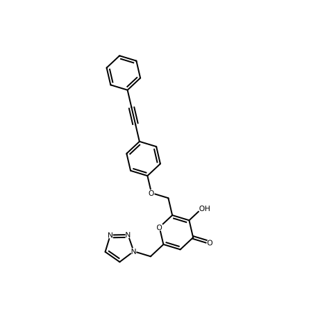 O=c1cc(Cn2ccnn2)oc(COc2ccc(C#Cc3ccccc3)cc2)c1O